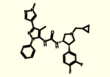 Cc1c(-c2cnn(C)c2)nn(-c2ccccc2)c1NC(=O)N[C@@H]1CN(CC2CC2)C[C@H]1c1ccc(F)c(F)c1